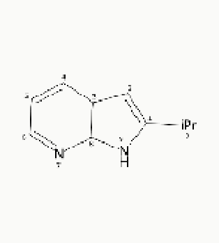 CC(C)C1=CC2C=CC=NC2N1